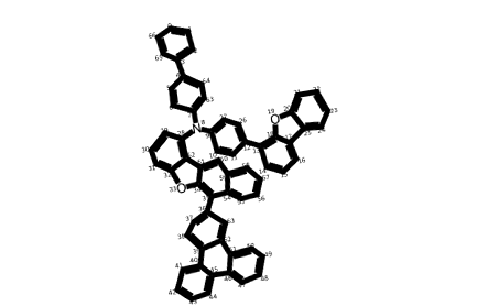 c1ccc(-c2ccc(N(c3ccc(-c4cccc5c4oc4ccccc45)cc3)c3cccc4oc5c(-c6ccc7c8ccccc8c8ccccc8c7c6)c6ccccc6cc5c34)cc2)cc1